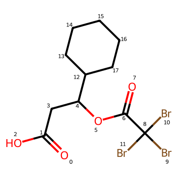 O=C(O)CC(OC(=O)C(Br)(Br)Br)C1CCCCC1